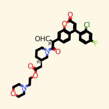 O=C[C@H](C(=O)N1CCC[C@H](CC(=O)OCCN2CCOCC2)C1)c1ccc2c(-c3ccc(F)cc3Cl)cc(=O)oc2c1